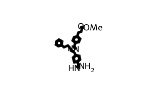 COC(=O)CCc1ccc(-c2nc(-c3ccc(C(=N)N)cc3)cn2CCc2ccccc2)cc1